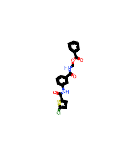 O=C(NCOC(=O)c1ccccc1)c1cccc(NC(=O)c2ccc(Cl)s2)c1